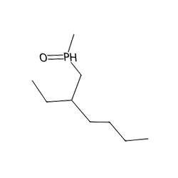 CCCCC(CC)C[PH](C)=O